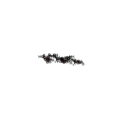 C[N+](C)(C)CC[N+](C)(C)CC(=O)NCC#Cc1cn([C@H]2C[C@@H](O)[C@@H](COP(=O)(O)OP(=O)(O)OP(=O)(O)NCCC[N+](C)(C)CCCC[N+](C)(C)CCCNC(=O)c3ccc(C4=C5C=C(F)C(O)C=C5Oc5cc(O)c(F)cc54)c(S(=O)(=O)O)c3)O2)c(=O)[nH]c1=N